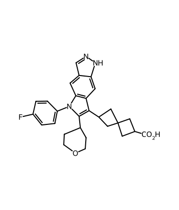 O=C(O)C1CC2(C1)CC(c1c(C3CCOCC3)n(-c3ccc(F)cc3)c3cc4cn[nH]c4cc13)C2